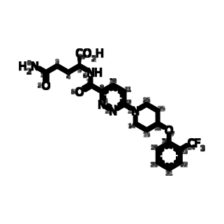 NC(=O)CC[C@H](NC(=O)c1ccc(N2CCC(Oc3ccccc3C(F)(F)F)CC2)nn1)C(=O)O